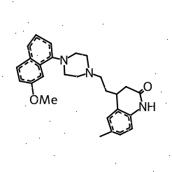 COc1ccc2cccc(N3CCN(CCC4CC(=O)Nc5ccc(C)cc54)CC3)c2c1